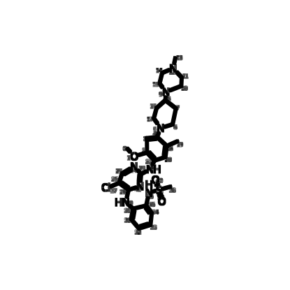 COc1cc(N2CCC(N3CCN(C)CC3)CC2)c(C)cc1Nc1ncc(Cl)c(Nc2ccccc2NS(C)(=O)=O)n1